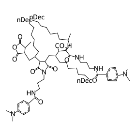 CCCCCCCCCCCCCCCCC(C)CC(C(=O)NCCCNC(=O)c1ccc(N(C)C)cc1)C(C(=O)O)C(CCCCCCCCCCCCCCCC)CC1C(=O)N(CCCNC(=O)c2ccc(N(C)C)cc2)C(=O)C1C(CCCCCCCCCCCCCCCC)CC1C(=O)OC(=O)C1C